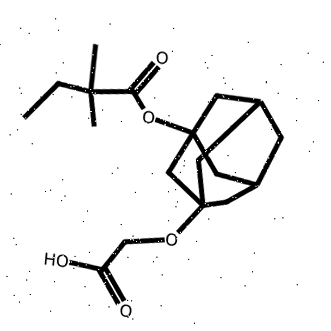 CCC(C)(C)C(=O)OC12CC3CC(CC(OCC(=O)O)(C3)C1)C2